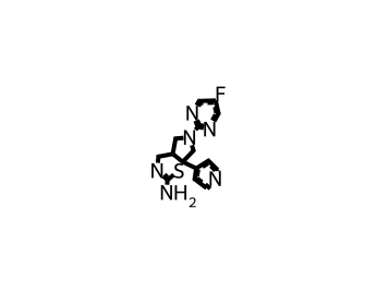 NC1=NCC2CN(c3ncc(F)cn3)CC2(c2ccncc2)S1